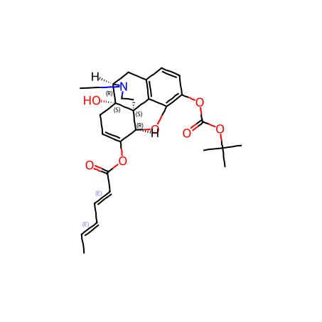 C/C=C/C=C/C(=O)OC1=CC[C@@]2(O)[C@H]3Cc4ccc(OC(=O)OC(C)(C)C)c5c4[C@@]2(CCN3C)[C@H]1O5